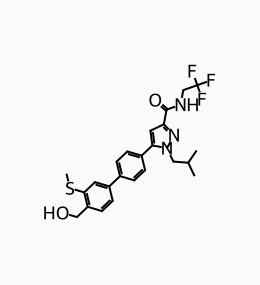 CSc1cc(-c2ccc(-c3cc(C(=O)NCC(F)(F)F)nn3CC(C)C)cc2)ccc1CO